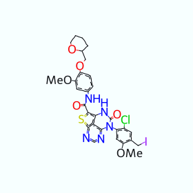 COc1cc(N2C(=O)Nc3c(C(=O)Nc4ccc(OCC5CCCCO5)c(OC)c4)sc4ncnc2c34)c(Cl)cc1CI